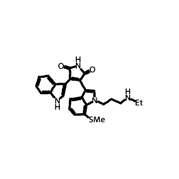 CCNCCCn1cc(C2=C(c3c[nH]c4ccccc34)C(=O)NC2=O)c2cccc(SC)c21